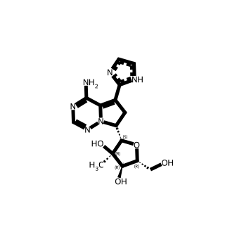 C[C@@]1(O)[C@H](O)[C@@H](CO)O[C@H]1C1CC(c2ncc[nH]2)=C2C(N)=NC=NN21